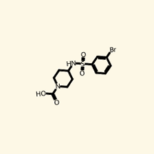 O=C(O)N1CCC(NS(=O)(=O)c2cccc(Br)c2)CC1